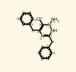 NN1NC(Cc2ccccc2)=NC(Cc2ccccc2)=C1Cl